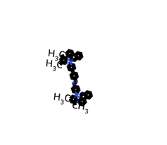 Cc1cc(C)cc(N(c2ccc(/C=C/c3ccc(-c4ccc(N(c5cc(C)cc(C)c5)c5cc6ccccc6c6ccccc56)cc4)cc3)cc2)c2cc3ccccc3c3ccccc23)c1